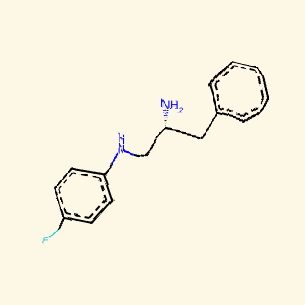 N[C@@H](CNc1ccc(F)cc1)Cc1ccccc1